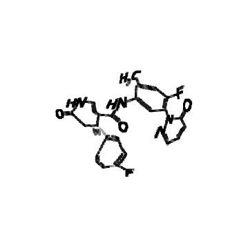 Cc1cc(F)c(-n2ncccc2=O)cc1NC(=O)C1=CNC(=O)C[C@H]1c1ccc(F)cc1